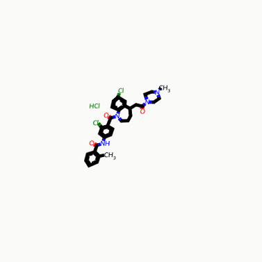 Cc1ccccc1C(=O)Nc1ccc(C(=O)N2CCCC(CC(=O)N3CCN(C)CC3)c3cc(Cl)ccc32)c(Cl)c1.Cl